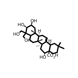 CC1(C)CC[C@]2(C(=O)O)[C@H](O)C[C@]3(C)C(=CC[C@@H]4[C@@]5(C)C[C@H](O)[C@H](O)C(CO)(CO)C5CC[C@]43C)[C@H]2C1